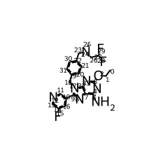 CCOc1nc(N)c2nc(-c3cncc(F)c3)n(Cc3ccc(CN(C)CC(F)F)cc3)c2n1